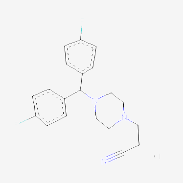 C[C@H](C#N)CN1CCN(C(c2ccc(F)cc2)c2ccc(F)cc2)CC1